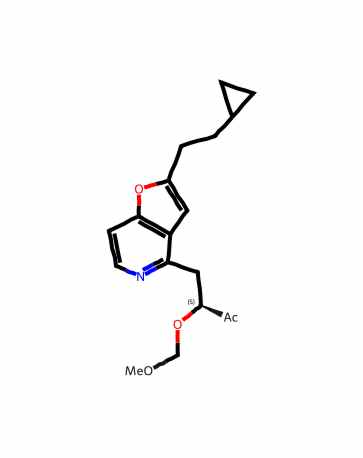 COCO[C@@H](Cc1nccc2oc(CCC3CC3)cc12)C(C)=O